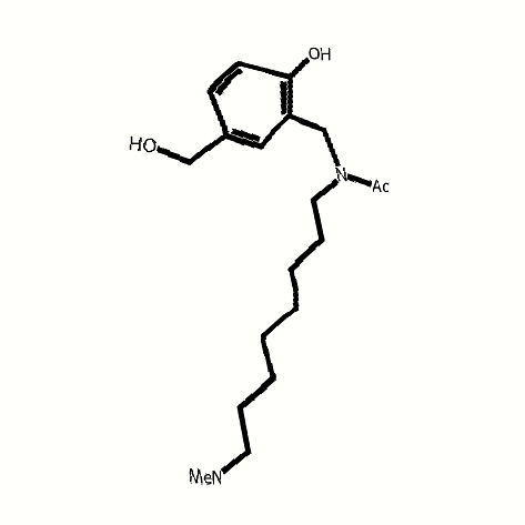 CNCCCCCCCCN(Cc1cc(CO)ccc1O)C(C)=O